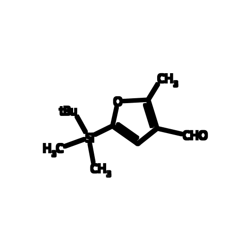 Cc1oc([Si](C)(C)C(C)(C)C)cc1C=O